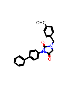 O=Cc1ccc(CN2CC(=O)N(c3ccc(-c4ccccc4)cc3)C2=O)cc1